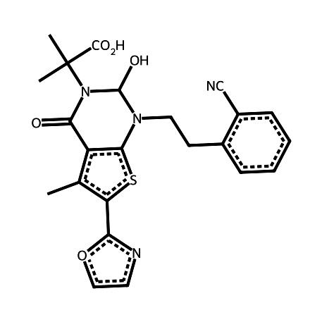 Cc1c(-c2ncco2)sc2c1C(=O)N(C(C)(C)C(=O)O)C(O)N2CCc1ccccc1C#N